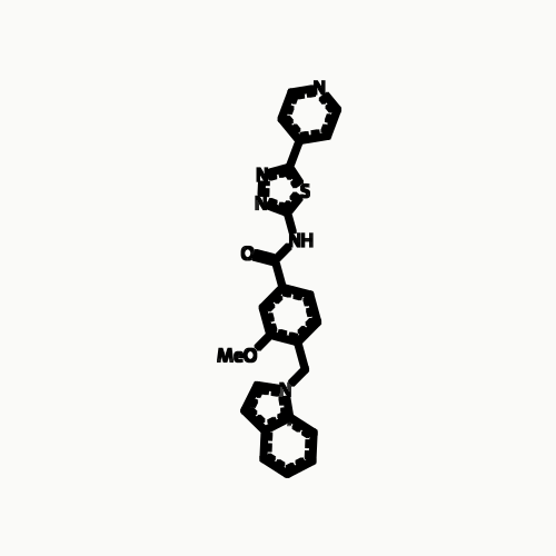 COc1cc(C(=O)Nc2nnc(-c3ccncc3)s2)ccc1Cn1ccc2ccccc21